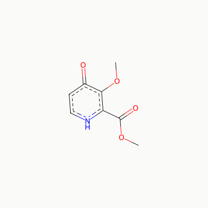 COC(=O)c1[nH]ccc(=O)c1OC